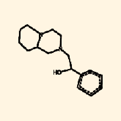 OC(CN1CCN2CCCCC2C1)c1ccccc1